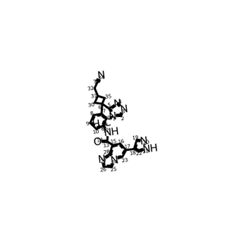 Cn1cnnc1C1(c2cccc(NC(=O)c3cc(-c4cn[nH]c4)cn4ccnc34)c2)CC(CC#N)C1